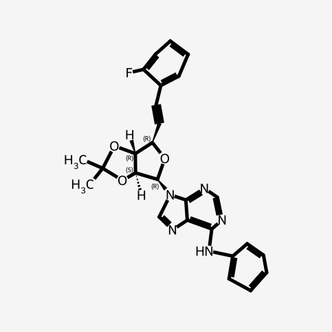 CC1(C)O[C@H]2[C@H](O1)[C@@H](C#Cc1ccccc1F)O[C@H]2n1cnc2c(Nc3ccccc3)ncnc21